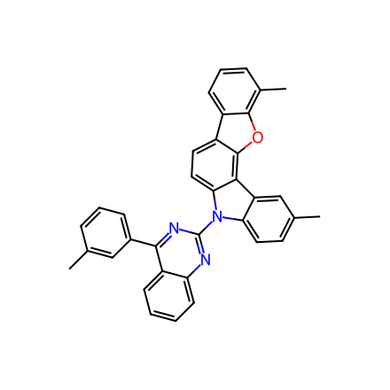 Cc1cccc(-c2nc(-n3c4ccc(C)cc4c4c5oc6c(C)cccc6c5ccc43)nc3ccccc23)c1